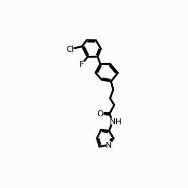 O=C(CCCc1ccc(-c2cccc(Cl)c2F)cc1)Nc1cccnc1